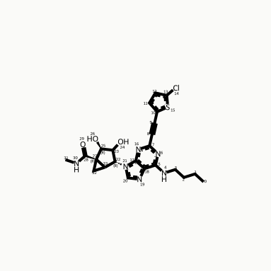 CCCCNc1nc(C#Cc2ccc(Cl)s2)nc2c1ncn2[C@H]1C(O)[C@H](O)[C@@]2(C(=O)NC)CC12